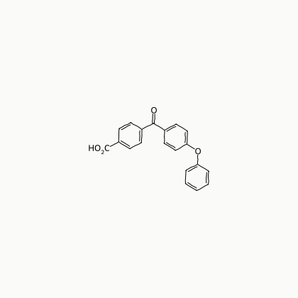 O=C(O)c1ccc(C(=O)c2ccc(Oc3ccccc3)cc2)cc1